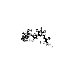 NCC(O)C(O)CCn1cc([C@H]2C[C@H](O)[C@@H](COP(=O)(O)OP(=O)(O)OP(=O)(O)O)O2)c(=O)[nH]c1=O